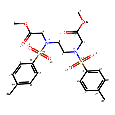 COC(=O)CN(CCN(CC(=O)OC)S(=O)(=O)c1ccc(C)cc1)S(=O)(=O)c1ccc(C)cc1